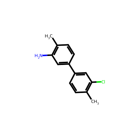 Cc1ccc(-c2ccc(C)c(Cl)c2)cc1N